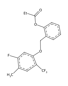 CCC(=O)Oc1ccccc1COc1cc(F)c(C)cc1C(F)(F)F